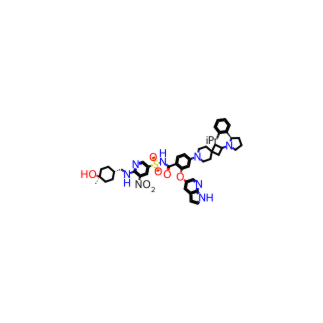 CC(C)c1ccccc1[C@H]1CCCN1C1CC2(CCN(c3ccc(C(=O)NS(=O)(=O)c4cnc(NC[C@H]5CC[C@](C)(O)CC5)c([N+](=O)[O-])c4)c(Oc4cnc5[nH]ccc5c4)c3)CC2)C1